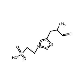 CC(C=O)Cc1cn(CCS(=O)(=O)O)nn1